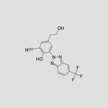 N#Cc1cc(CCO)cc(-n2nc3ccc(C(F)(F)F)cc3n2)c1O